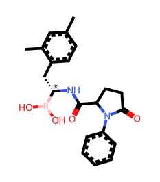 Cc1ccc(C[C@H](NC(=O)C2CCC(=O)N2c2ccccc2)B(O)O)c(C)c1